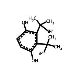 CC(C)C(C)(C)c1c(O)ccc(O)c1C(C)(C)C(C)C